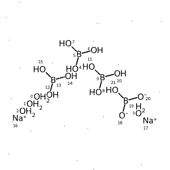 O.O.O.O.OB(O)O.OB(O)O.OB(O)O.[Na+].[Na+].[O-]B([O-])O